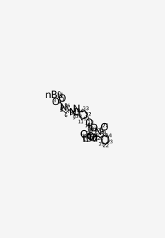 CCCCOC(=O)N1CCC(n2cc3cc(OC[C@H](ON4C(=O)c5ccccc5C4=O)C(=O)OC(C)(C)C)ccc3n2)C1